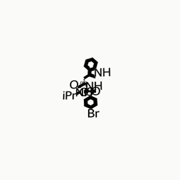 CC(C)NC(=O)[C@H](Cc1c[nH]c2ccccc12)NS(=O)(=O)c1ccc(Br)cc1